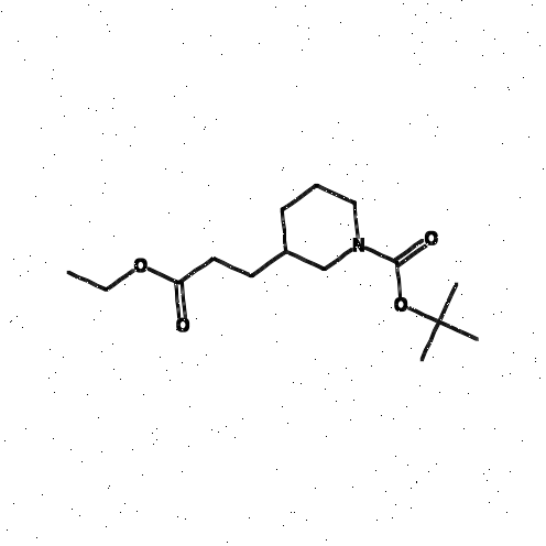 CCOC(=O)CCC1CCCN(C(=O)OC(C)(C)C)C1